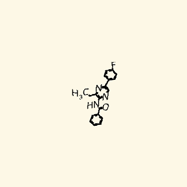 CCc1nc(-c2ccc(F)cc2)cnc1NC(=O)c1ccccc1